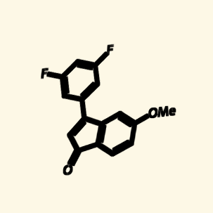 COc1ccc2c(c1)C(c1cc(F)cc(F)c1)=CC2=O